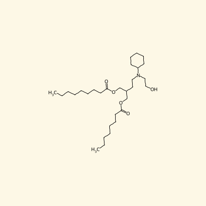 CCCCCCCCC(=O)OCC(CCN(CCO)C1CCCCC1)COC(=O)CCCCCCC